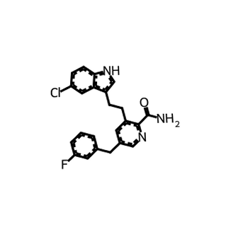 NC(=O)c1ncc(Cc2cccc(F)c2)cc1CCc1c[nH]c2ccc(Cl)cc12